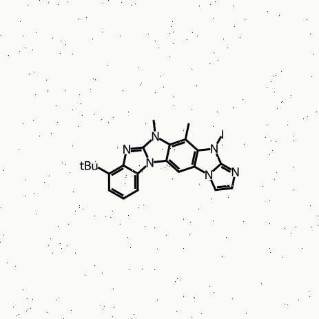 Cc1c2c(cc3c1n(I)c1nccn31)n1c3cccc(C(C)(C)C)c3nc1n2C